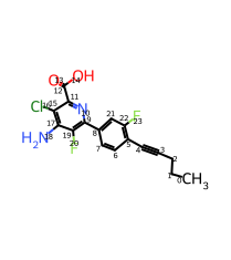 CCCC#Cc1ccc(-c2nc(C(=O)O)c(Cl)c(N)c2F)cc1F